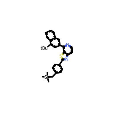 CC(C)(C)c1cc(-c2nccc3nc(-c4ccc(C[Si](C)(C)C)cc4)sc23)cc2ccccc12